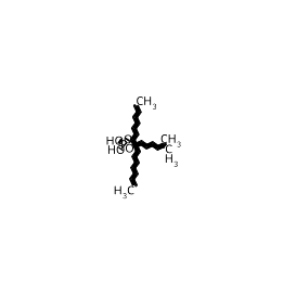 CCCCCCCCC(CCCCCCCC)(CCCCC(C)C)OP(=O)(O)O